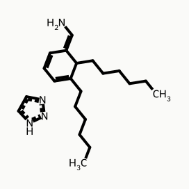 CCCCCCC1=CC=CC(=CN)C1CCCCCC.c1c[nH]nn1